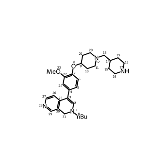 CCCCN1C=C(c2ccc(OC3CCN(CC4CCNCC4)CC3)c(OC)c2)c2ccncc2C1